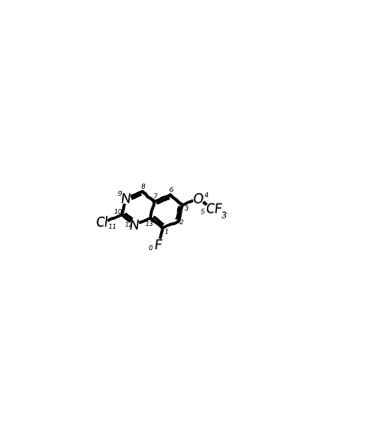 Fc1cc(OC(F)(F)F)cc2cnc(Cl)nc12